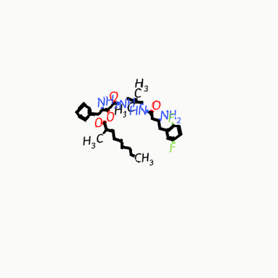 CCCCCCCC(C)C(=O)OC(C(=O)NCC(C)(C)CNC(=O)CC(N)Cc1cc(F)ccc1F)C(N)Cc1ccccc1